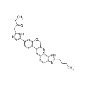 CCCCc1nc2ccc3cc4c(cc3c2[nH]1)COc1cc(-c2cnc(CC(=O)CC)[nH]2)ccc1-4